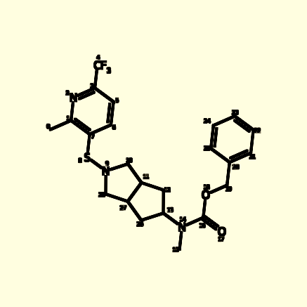 Cc1nc(C(F)(F)F)ccc1SN1CC2CC(N(C)C(=O)OCc3ccccc3)CC2C1